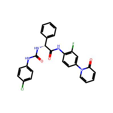 O=C(Nc1ccc(Cl)cc1)N[C@@H](C(=O)Nc1ccc(-n2ccccc2=O)cc1F)c1ccccc1